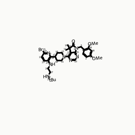 COc1ccc(CN2C(=O)C(C)(C)c3c(N4CCC(c5nc(Br)ccc5NCCNC(C)(C)C)CC4)ncnc32)c(OC)c1